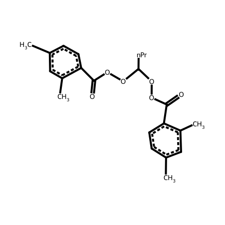 [CH2]CC[C](OOC(=O)c1ccc(C)cc1C)OOC(=O)c1ccc(C)cc1C